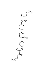 CCC[C@H](F)C(=O)OC1CCC(c2ccc(C3CCC(OC(=O)[C@@H](F)CCC)CC3)c(Cl)c2)CC1